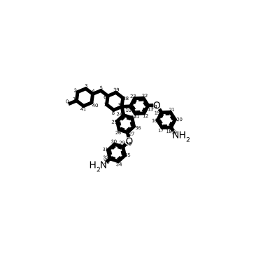 CC1CCC(CC2CCC(c3ccc(Oc4ccc(N)cc4)cc3)(c3ccc(Oc4ccc(N)cc4)cc3)CC2)CC1